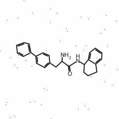 NC(Cc1ccc(-c2ccccc2)cc1)C(=O)NC1CCCc2ccccc21